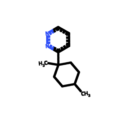 CC1CCC(C)(c2cccnn2)CC1